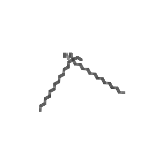 CCCCCCCCCCCCCCC(P)(CC)CCCCCCCCCCCCCC